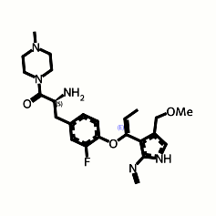 C=Nc1[nH]cc(COC)c1/C(=C\C)Oc1ccc(C[C@H](N)C(=O)N2CCN(C)CC2)cc1F